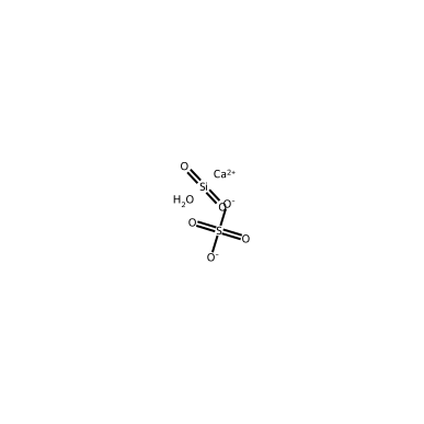 O.O=S(=O)([O-])[O-].O=[Si]=O.[Ca+2]